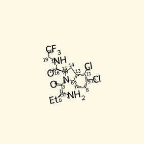 CC[C@H](N)C(=O)N1c2ccc(Cl)c(Cl)c2C[C@@H]1C(=O)NCC(F)(F)F